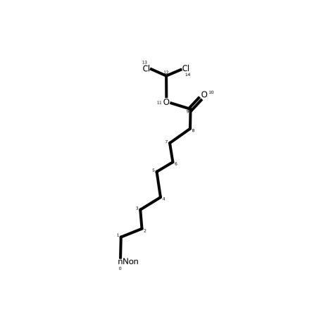 CCCCCCCCCCCCCCCCCC(=O)OC(Cl)Cl